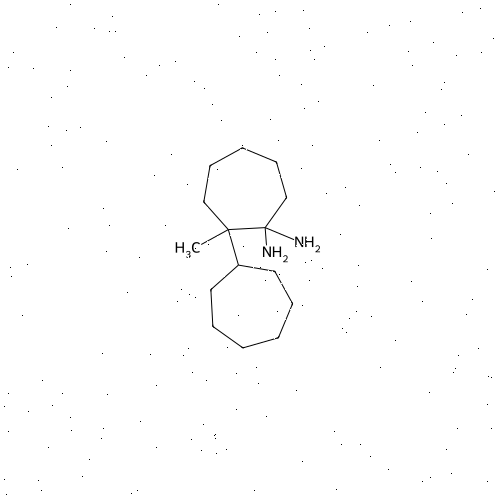 CC1(C2CCCCCC2)CCCCCC1(N)N